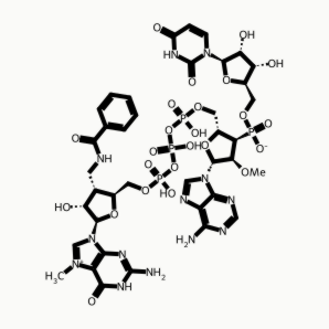 CO[C@@H]1[C@H](P(=O)([O-])OC[C@H]2O[C@@H](n3ccc(=O)[nH]c3=O)[C@H](O)[C@@H]2O)[C@@H](COP(=O)(O)OP(=O)(O)OP(=O)(O)OC[C@H]2O[C@@H](n3c[n+](C)c4c(=O)[nH]c(N)nc43)[C@H](O)[C@@H]2CNC(=O)c2ccccc2)O[C@H]1n1cnc2c(N)ncnc21